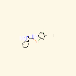 Cc1cc(Cl)c(NC(=O)c2c[nH]c3ccccc23)cc1F